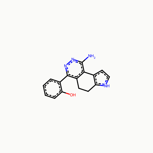 Nc1nnc(-c2ccccc2O)c2c1-c1cc[nH]c1CC2